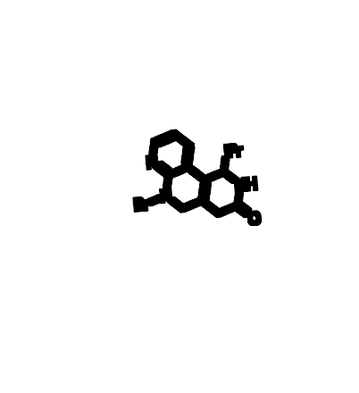 CC(C)C1NC(=O)CC2=C1c1cccnc1N(Br)C2